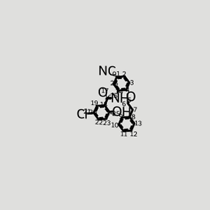 N#Cc1ccc(OCCc2ccccc2)c(NC(=O)c2cc(Cl)ccc2O)c1